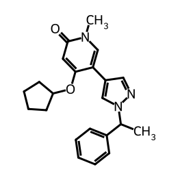 CC(c1ccccc1)n1cc(-c2cn(C)c(=O)cc2OC2CCCC2)cn1